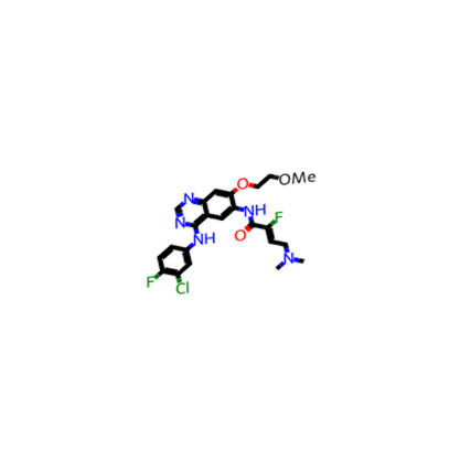 COCCOc1cc2ncnc(Nc3ccc(F)c(Cl)c3)c2cc1NC(=O)C(F)=CCN(C)C